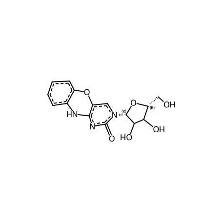 O=c1nc2c(cn1[C@@H]1O[C@H](CO)C(O)C1O)Oc1ccccc1N2